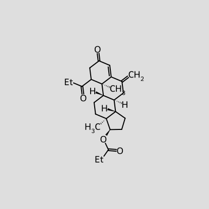 C=C1C[C@H]2[C@@H]3CC[C@@H](OC(=O)CC)[C@@]3(C)CC[C@@H]2[C@]2(C)C1=CC(=O)CC2C(=O)CC